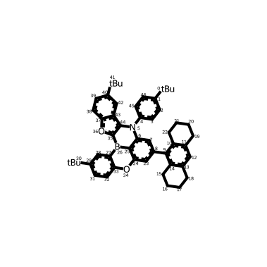 CC(C)(C)c1ccc(N2c3cc(-c4c5c(cc6c4CCCC6)CCCC5)cc4c3B(c3cc(C(C)(C)C)ccc3O4)c3oc4ccc(C(C)(C)C)cc4c32)cc1